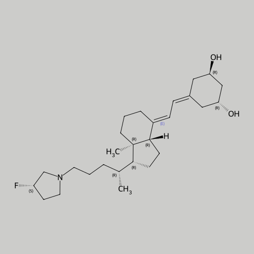 C[C@H](CCCN1CC[C@H](F)C1)[C@H]1CC[C@H]2/C(=C/C=C3C[C@@H](O)C[C@H](O)C3)CCC[C@]12C